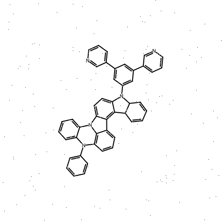 C1=CC2c3c(ccc4c3c3cccc5c3n4-c3ccccc3N5c3ccccc3)N(c3cc(-c4cccnc4)cc(-c4cccnc4)c3)C2C=C1